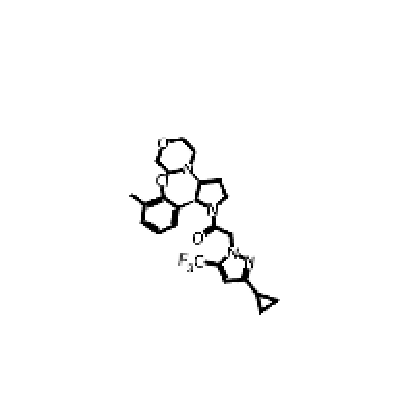 Cc1cccc([C@H]2[C@@H](N3CCOCC3)CCN2C(=O)Cn2nc(C3CC3)cc2C(F)(F)F)c1Cl